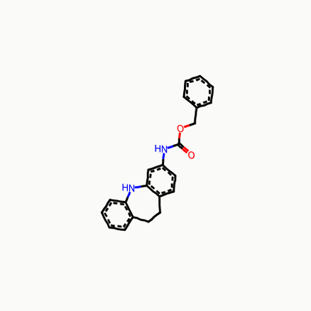 O=C(Nc1ccc2c(c1)Nc1ccccc1CC2)OCc1ccccc1